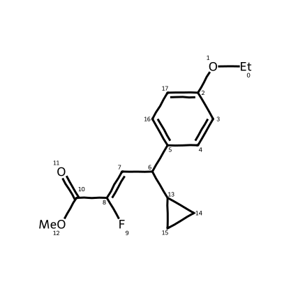 CCOc1ccc(C(C=C(F)C(=O)OC)C2CC2)cc1